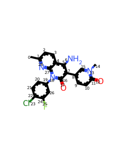 Cc1ccc2c(N)c(-c3ccc(=O)n(C)c3)c(=O)n(-c3ccc(Cl)c(F)c3)c2n1